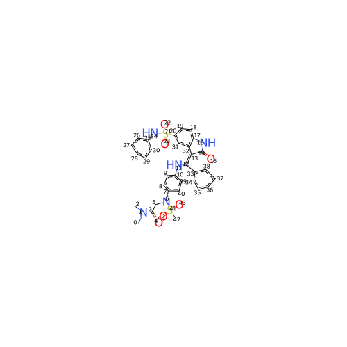 CN(C)C(=O)CN(c1ccc(NC(=C2C(=O)Nc3ccc(S(=O)(=O)Nc4ccccc4)cc32)c2ccccc2)cc1)S(C)(=O)=O